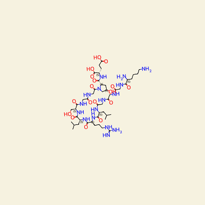 CC(C)C[C@H](NC(=O)CNC(=O)CNC(=O)CNC(=O)[C@@H](N)CCCCN)C(=O)N[C@@H](CCCNC(=N)N)C(=O)N[C@@H](CC(C)C)C(=O)N[C@@H](CO)C(=O)NCC(=O)NCC(=O)N1C[C@H](O)C[C@H]1C(=O)N[C@@H](CCC(=O)O)C(=O)O